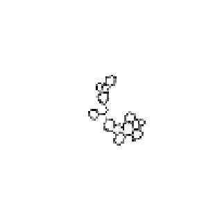 c1ccc(C(Cc2ccc3oc4ccccc4c3c2)c2ccc3c4cccc5c6cccc7oc8cccc(c8c76)n(c3c2)c54)cc1